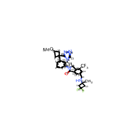 COC1CC(c2cccc(N3Cc4c(cc(CNC5(C)CC(F)(F)C5)cc4C(F)(F)F)C3=O)c2)(c2nncn2C)C1